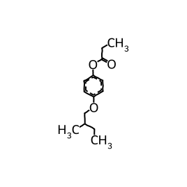 CCC(=O)Oc1ccc(OCC(C)CC)cc1